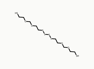 SCCOCOCCSSSSCCOCOCCS